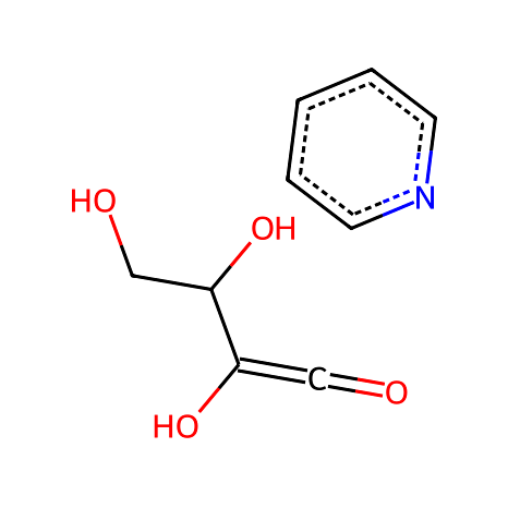 O=C=C(O)C(O)CO.c1ccncc1